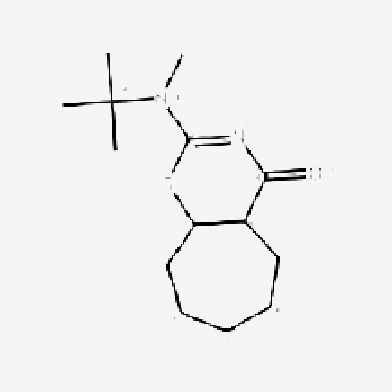 CN(C1=NC(=O)C2CCCCCC2S1)C(C)(C)C